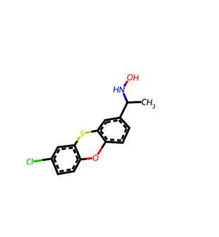 CC(NO)c1ccc2c(c1)Sc1cc(Cl)ccc1O2